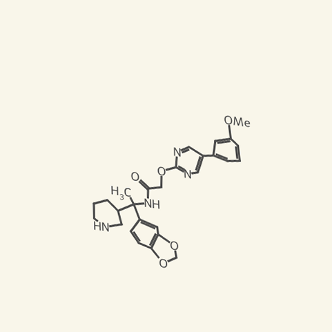 COc1cccc(-c2cnc(OCC(=O)NC(C)(c3ccc4c(c3)OCO4)C3CCCNC3)nc2)c1